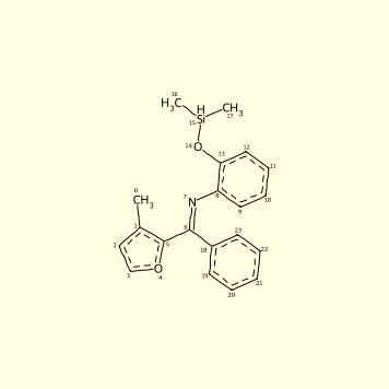 Cc1ccoc1C(=Nc1ccccc1O[SiH](C)C)c1ccccc1